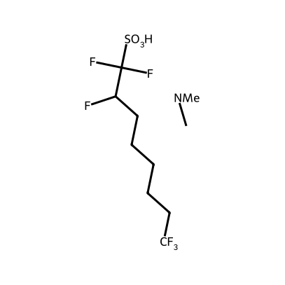 CNC.O=S(=O)(O)C(F)(F)C(F)CCCCCC(F)(F)F